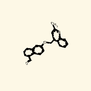 Cc1cc(COc2ccc3c([C]=O)cccc3c2)c2ccccc2n1